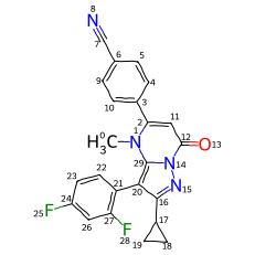 Cn1c(-c2ccc(C#N)cc2)cc(=O)n2nc(C3CC3)c(-c3ccc(F)cc3F)c12